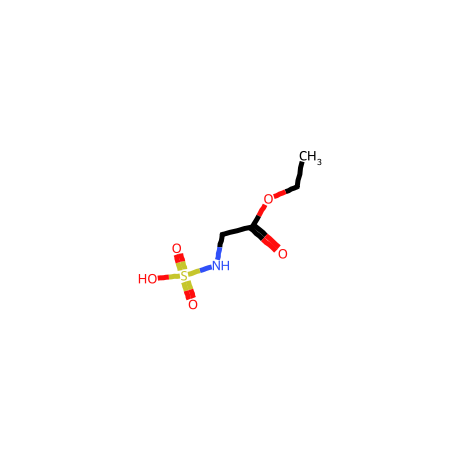 CCOC(=O)CNS(=O)(=O)O